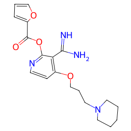 N=C(N)c1c(OCCCN2CCCCC2)ccnc1OC(=O)c1ccco1